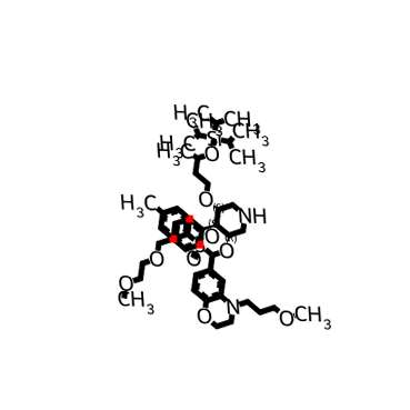 COCCCN1CCOc2ccc(C(O[C@H]3CNC[C@@H](OCCC(C)O[Si](C(C)C)(C(C)C)C(C)C)[C@@H]3c3ccc(COCCOC)cc3)S(=O)(=O)c3ccc(C)cc3)cc21